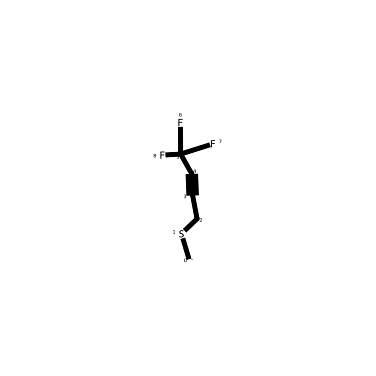 [CH2]SCC#CC(F)(F)F